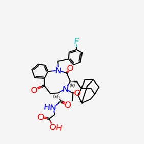 CC(=O)N1[C@H](CC23CC4CC(CC(C4)C2)C3)C(=O)N(Cc2cccc(F)c2)c2ccccc2C(=O)C[C@H]1C(=O)NCC(=O)O